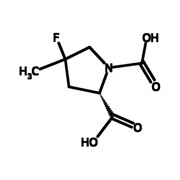 CC1(F)C[C@@H](C(=O)O)N(C(=O)O)C1